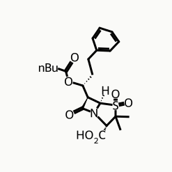 CCCCC(=O)O[C@H](CCc1ccccc1)[C@@H]1C(=O)N2[C@@H](C(=O)O)C(C)(C)S(=O)(=O)[C@H]12